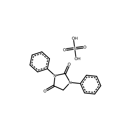 O=C1CN(c2ccccc2)C(=O)N1c1ccccc1.O=S(=O)(O)O